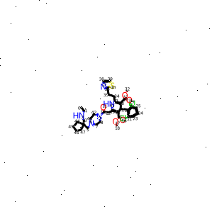 CCNCC1(CN2CCN(C(=O)CC3=C(C(=O)OC)C(c4c(Cl)cccc4Cl)C(C(=O)OC)=C(CCc4nccs4)N3)CC2)CCCC1